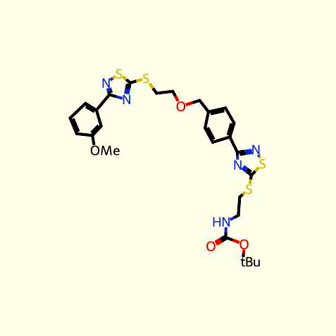 COc1cccc(-c2nsc(SCCOCc3ccc(-c4nsc(SCCNC(=O)OC(C)(C)C)n4)cc3)n2)c1